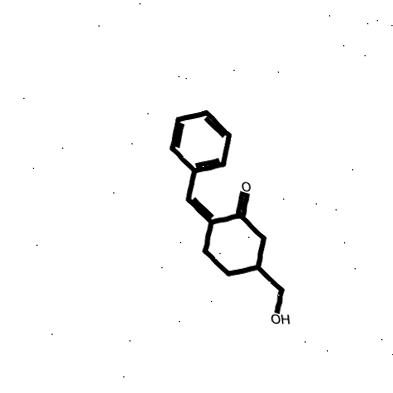 O=C1CC(CO)CCC1=Cc1ccccc1